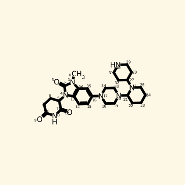 Cn1c(=O)n(C2CCC(=O)NC2=O)c2ccc(N3CCN(C4CCCCN4C4CCNCC4)CC3)cc21